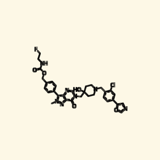 Cn1nc2c(=O)n(CC3(O)CCN(Cc4ccc(-c5cnco5)cc4Cl)CC3)cnc2c1-c1ccc(COC(=O)NCCF)cc1